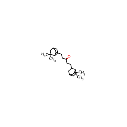 CC1(C)CC2CCC1C(CCC(=O)CCC1CC3CCC1C(C)(C)C3)C2